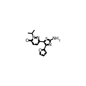 CC(C)n1nc(-c2sc(N)nc2-c2ccco2)ccc1=O